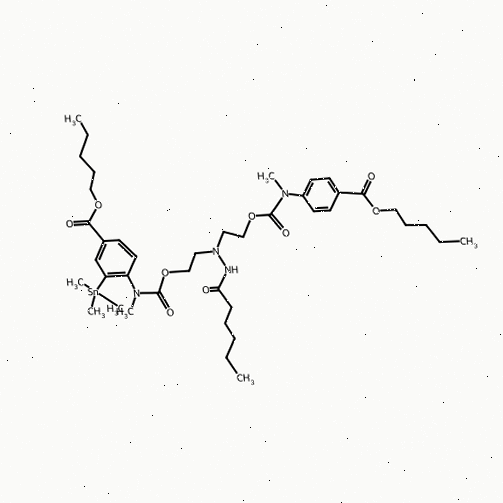 CCCCCOC(=O)c1ccc(N(C)C(=O)OCCN(CCOC(=O)N(C)c2ccc(C(=O)OCCCCC)c[c]2[Sn]([CH3])([CH3])[CH3])NC(=O)CCCCC)cc1